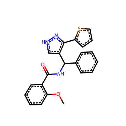 COc1ccccc1C(=O)NC(c1ccccc1)c1c[nH]nc1-c1cccs1